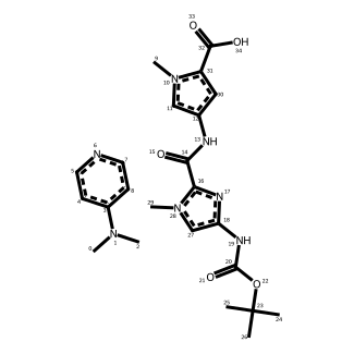 CN(C)c1ccncc1.Cn1cc(NC(=O)c2nc(NC(=O)OC(C)(C)C)cn2C)cc1C(=O)O